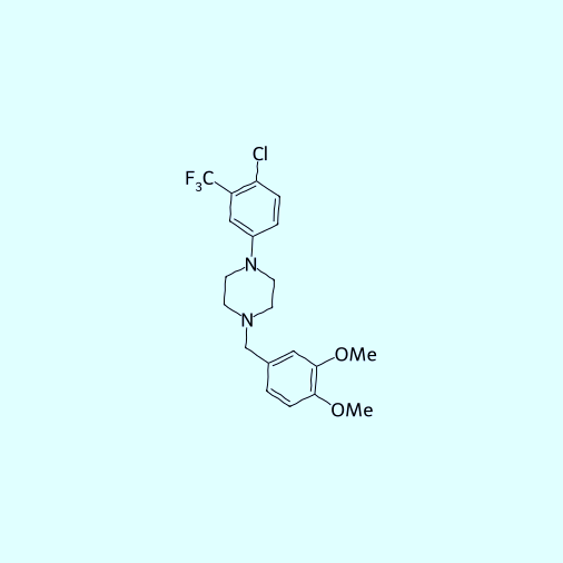 COc1ccc(CN2CCN(c3ccc(Cl)c(C(F)(F)F)c3)CC2)cc1OC